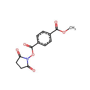 COC(=O)c1ccc(C(=O)ON2C(=O)CCC2=O)cc1